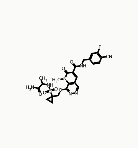 CC(NS(=O)(=O)C1(COc2nncc3cc(C(=O)NCc4ccc(C#N)c(F)c4)c(=O)n(C)c23)CC1)C(N)=O